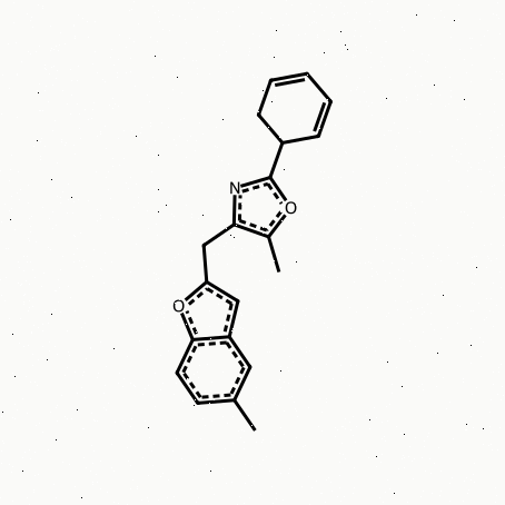 Cc1ccc2oc(Cc3nc(C4C=CC=CC4)oc3C)cc2c1